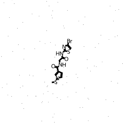 CSn1ccc(C(=O)NCC(=O)Nc2nc(Br)cs2)c1